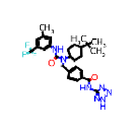 Cc1cc(NC(=O)N(Cc2ccc(C(=O)Nc3nn[nH]n3)cc2)C2CCC(C(C)(C)C)CC2)cc(C(F)(F)F)c1